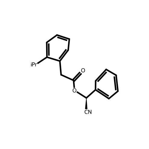 CC(C)c1ccccc1CC(=O)O[C@H](C#N)c1ccccc1